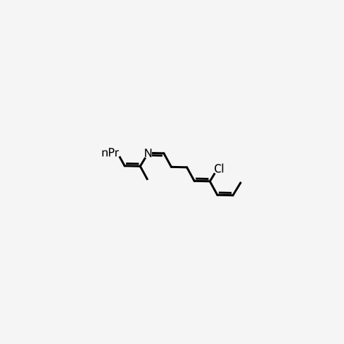 C/C=C\C(Cl)=CCC/C=N\C(C)=C/CCC